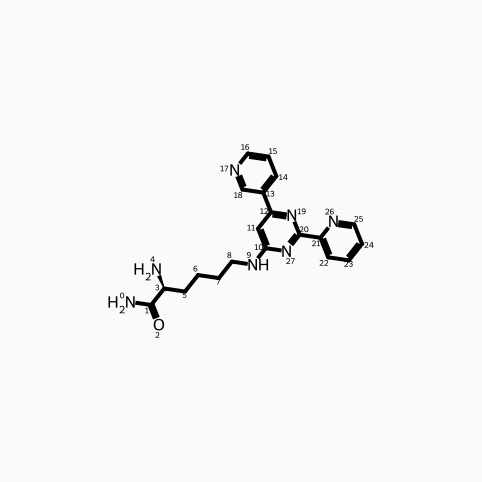 NC(=O)[C@@H](N)CCCCNc1cc(-c2cccnc2)nc(-c2ccccn2)n1